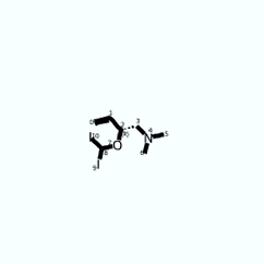 C=C[C@H](CN(C)C)OC(I)I